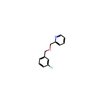 Fc1cccc(COCc2ccccn2)c1